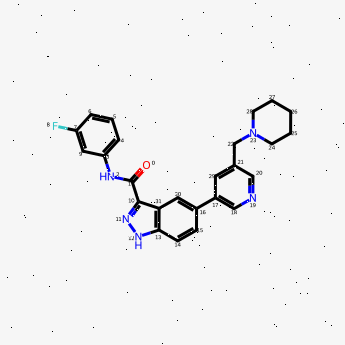 O=C(Nc1cccc(F)c1)c1n[nH]c2ccc(-c3cncc(CN4CCCCC4)c3)cc12